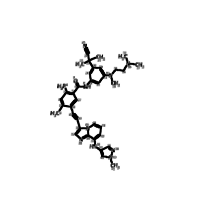 Cc1cc(P)c(C(=O)Nc2cc(N(C)CCN(C)C)cc(C(C)(C)C#N)c2)cc1C#Cc1cnc2c(Nc3cnn(C)c3)cccn12